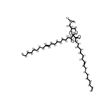 CCCCCCCCC=CCCCCCCCC(=O)C1(C(=O)CCCCCCCC=CCCCCCCCC)OCC(CN(C)C)O1